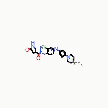 O=C1CC(C(=O)NCc2ccc(Nc3ccc(N4CCC(C(F)(F)F)CC4)cc3)cc2Cl)CN1